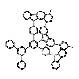 Cc1ccc(-c2ccc3c(c2)c2cc(-c4ccc(C)cc4)ccc2n3-c2c(-c3ccc(-n4c5ccccc5c5ccccc54)cc3)cc(-c3cc(-c4ccccc4)nc(-c4ccccc4)n3)cc2-c2ccc(-n3c4ccccc4c4ccccc43)cc2)cc1